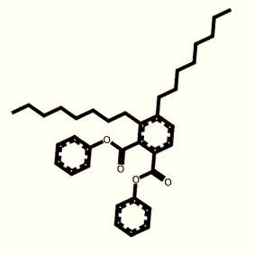 CCCCCCCCc1ccc(C(=O)Oc2ccccc2)c(C(=O)Oc2ccccc2)c1CCCCCCCC